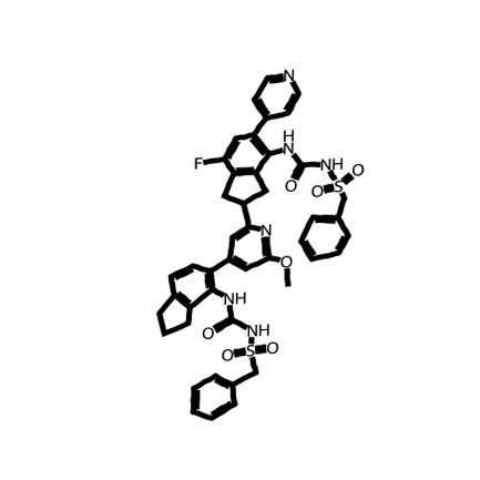 COc1cc(-c2ccc3c(c2NC(=O)NS(=O)(=O)Cc2ccccc2)CCC3)cc(C2Cc3c(F)cc(-c4ccncc4)c(NC(=O)NS(=O)(=O)Cc4ccccc4)c3C2)n1